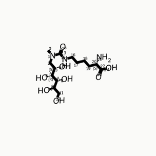 CN(C[C@H](O)[C@@H](O)[C@H](O)[C@H](O)CO)C(=O)NCCCC[C@H](N)C(=O)O